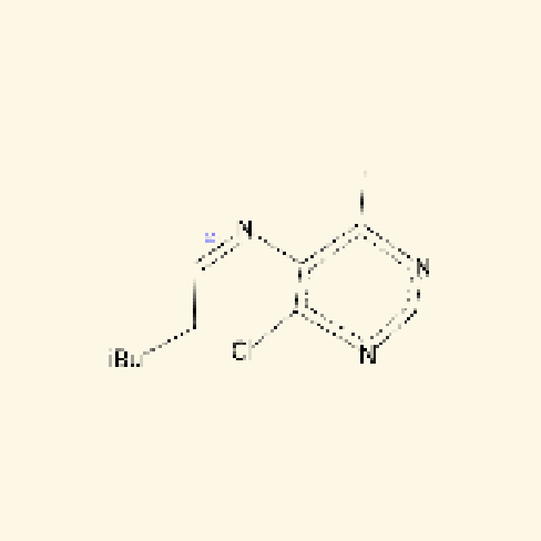 CCC(C)C/C=N\c1c(C)ncnc1Cl